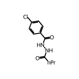 CCCC(=O)NNC(=O)c1ccc(Cl)cc1